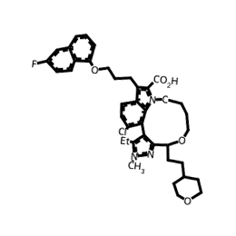 CCc1c2c(nn1C)C(CCC1CCOCC1)OCCCCn1c(C(=O)O)c(CCCOc3cccc4cc(F)ccc34)c3ccc(Cl)c-2c31